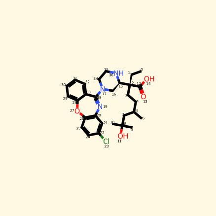 CC[C@](CCC(C)CC(C)(C)O)(C(=O)O)[C@H]1CN(C2=Nc3cc(Cl)ccc3Oc3ccccc32)CCN1